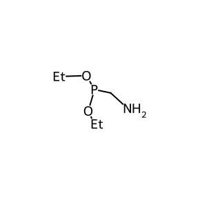 CCOP(CN)OCC